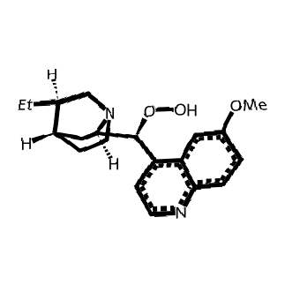 CC[C@H]1CN2CC[C@H]1C[C@@H]2[C@@H](OO)c1ccnc2ccc(OC)cc12